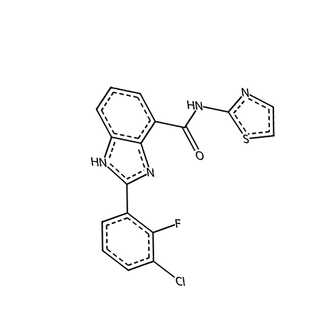 O=C(Nc1nccs1)c1cccc2[nH]c(-c3cccc(Cl)c3F)nc12